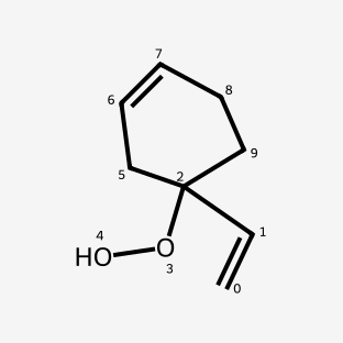 C=CC1(OO)CC=CCC1